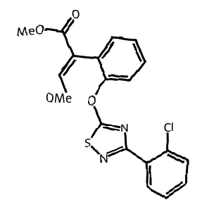 CO/C=C(/C(=O)OC)c1ccccc1Oc1nc(-c2ccccc2Cl)ns1